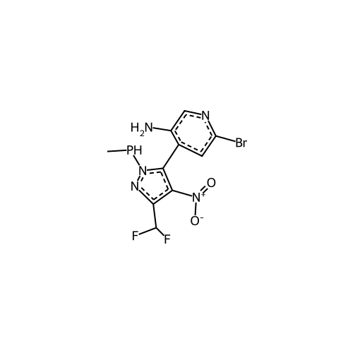 CPn1nc(C(F)F)c([N+](=O)[O-])c1-c1cc(Br)ncc1N